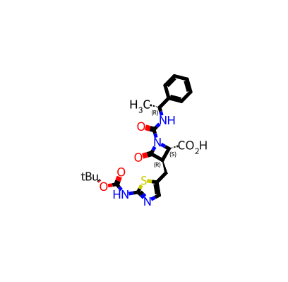 C[C@@H](NC(=O)N1C(=O)[C@H](Cc2cnc(NC(=O)OC(C)(C)C)s2)[C@H]1C(=O)O)c1ccccc1